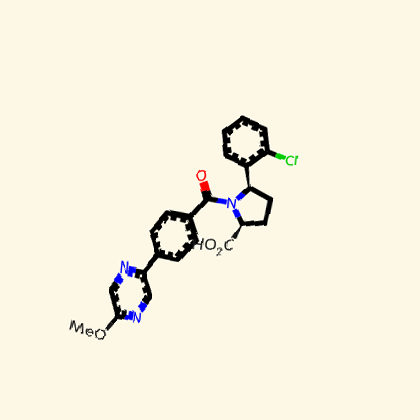 COc1cnc(-c2ccc(C(=O)N3[C@@H](c4ccccc4Cl)CC[C@H]3C(=O)O)cc2)cn1